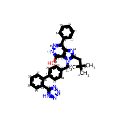 CC(C)(C)Cc1nc2c(-c3ccccc3)nnc(O)c2n1Cc1ccc(-c2ccccc2-c2nnn[nH]2)cc1